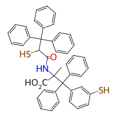 CC(NC(=O)C(S)C(c1ccccc1)(c1ccccc1)c1ccccc1)(C(=O)O)C(c1ccccc1)(c1ccccc1)c1cccc(S)c1